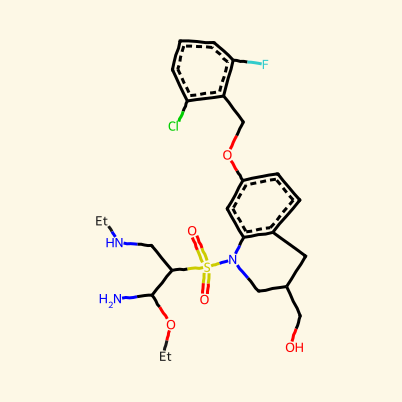 CCNCC(C(N)OCC)S(=O)(=O)N1CC(CO)Cc2ccc(OCc3c(F)cccc3Cl)cc21